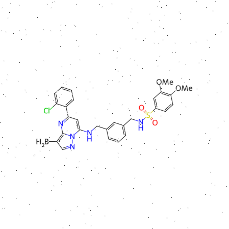 Bc1cnn2c(NCc3cccc(CNS(=O)(=O)c4ccc(OC)c(OC)c4)c3)cc(-c3ccccc3Cl)nc12